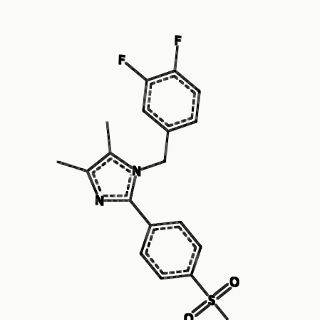 Cc1nc(-c2ccc(S(N)(=O)=O)cc2)n(Cc2ccc(F)c(F)c2)c1C